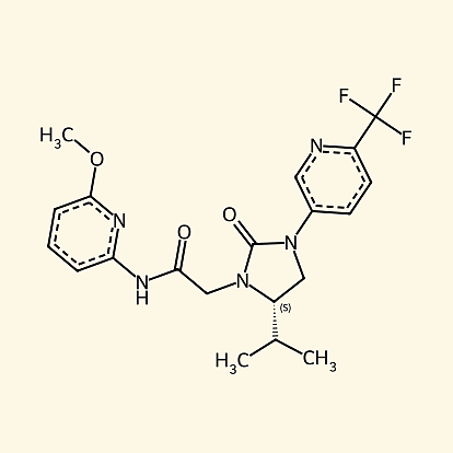 COc1cccc(NC(=O)CN2C(=O)N(c3ccc(C(F)(F)F)nc3)C[C@@H]2C(C)C)n1